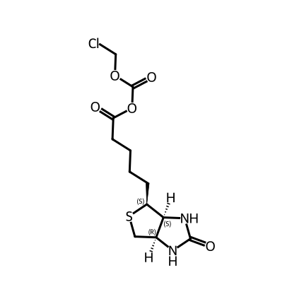 O=C1N[C@H]2[C@H](CS[C@H]2CCCCC(=O)OC(=O)OCCl)N1